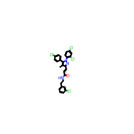 Cc1c(/C=C/C(=O)NCCc2cccc(Cl)c2)nn(-c2ccc(Cl)cc2Cl)c1-c1ccc(Cl)cc1